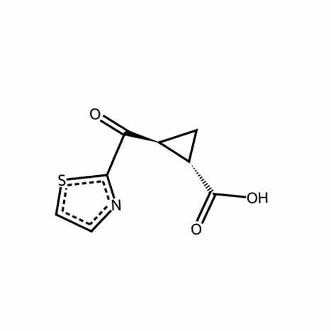 O=C(O)[C@H]1C[C@@H]1C(=O)c1nccs1